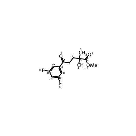 COC(=O)C(C)(C)CCC(=O)c1cc(F)cc(F)c1